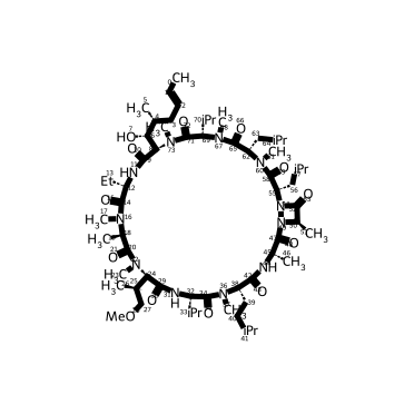 C/C=C/C[C@@H](C)[C@@H](O)[C@H]1C(=O)N[C@@H](CC)C(=O)N(C)[C@H](C)C(=O)N(C)[C@@H]([C@H](C)COC)C(=O)N[C@@H](C(C)C)C(=O)N(C)[C@@H](CCC(C)C)C(=O)N[C@@H](C)C(=O)N2[C@H](C)C(=O)N2[C@@H](CC(C)C)C(=O)N(C)[C@@H](CC(C)C)C(=O)N(C)[C@@H](C(C)C)C(=O)N1C